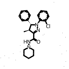 C[C@@H]1C(C(=O)NN2CCCCC2)=NN(c2ccccc2Cl)[C@H]1c1ccccc1